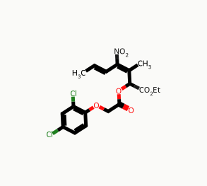 CC=CC(=C(C)C(OC(=O)COc1ccc(Cl)cc1Cl)C(=O)OCC)[N+](=O)[O-]